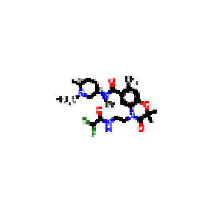 CC(C)N(C(=O)c1cc2c(cc1C(F)(F)F)OC(C)(C)C(=O)N2CCNC(=O)C(F)F)[C@@H]1CC[C@H](C)N(C(=O)O)C1